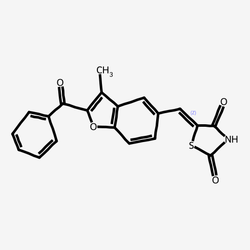 Cc1c(C(=O)c2ccccc2)oc2ccc(/C=C3\SC(=O)NC3=O)cc12